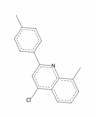 Cc1ccc(-c2cc(Cl)c3cccc(C)c3n2)cc1